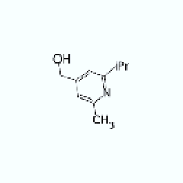 Cc1cc(CO)cc(C(C)C)n1